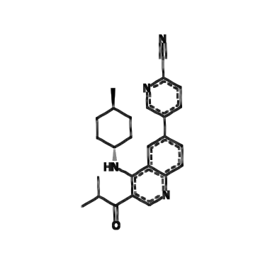 CC(C)C(=O)c1cnc2ccc(-c3ccc(C#N)nc3)cc2c1N[C@H]1CC[C@H](C)CC1